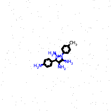 Cc1ccc(N2C(N)=C(N)C(c3ccc(N)cc3)N2N)cc1